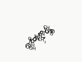 CCc1nc(N2CCOC2=O)ccc1-c1ccc2cc(-c3nc4cc5c(cc4n3C)CCN(C[C@@H](CF)NC(=O)O)C5=O)n(CC3CC3)c2n1